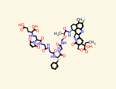 CC[C@@]1(O)C(=O)OCc2c1cc1n(c2=O)Cc2c-1nc1cc(F)c(C)c3c1c2[C@@H](NC(=O)[C@H](C)OCNC(=O)CNC(=O)[C@H](Cc1ccccc1)NC(=O)CNC(=O)CNC(=O)C(CNC(CCC(=O)O)C(=O)O)N1C(=O)C=CC1=O)CC3